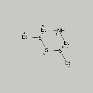 CCNCC.CCSSSCC